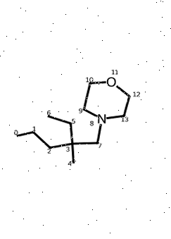 CCCC(C)(CC)CN1CCOCC1